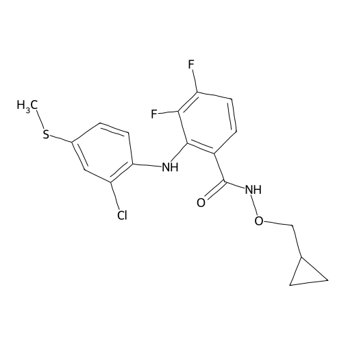 CSc1ccc(Nc2c(C(=O)NOCC3CC3)ccc(F)c2F)c(Cl)c1